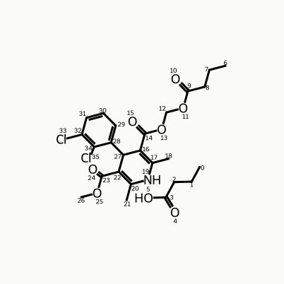 CCCC(=O)O.CCCC(=O)OCOC(=O)C1=C(C)NC(C)=C(C(=O)OC)C1c1cccc(Cl)c1Cl